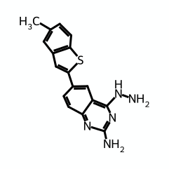 Cc1ccc2sc(-c3ccc4nc(N)nc(NN)c4c3)cc2c1